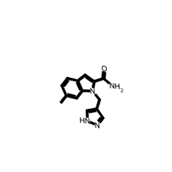 Cc1ccc2cc(C(N)=O)n(Cc3cn[nH]c3)c2c1